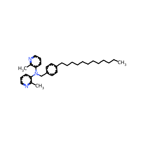 CCCCCCCCCCCCc1ccc(CN(c2cccnc2C)c2cccnc2C)cc1